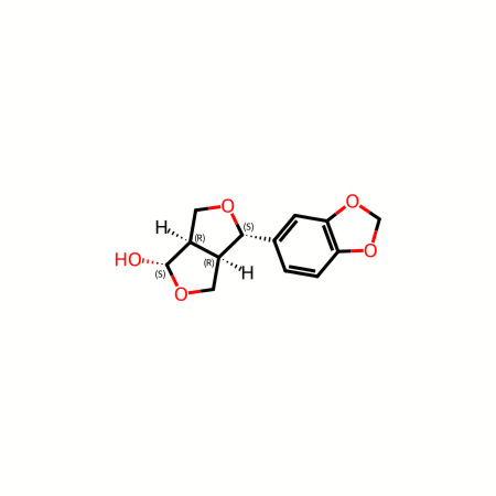 O[C@H]1OC[C@H]2[C@@H]1CO[C@@H]2c1ccc2c(c1)OCO2